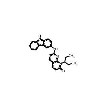 CCC(CC)n1c(=O)ccc2cnc(Nc3ccc4[nH]c5ccccc5c4c3)nc21